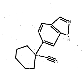 N#CC1(c2ccc3cn[nH]c3c2)CCCCC1